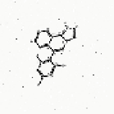 Cc1cc(C)c(-c2cn3ccnc3c3ccccc23)c(C)c1